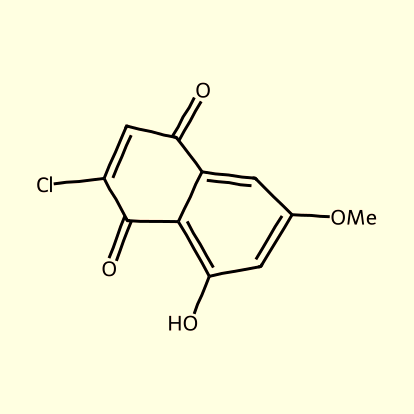 COc1cc(O)c2c(c1)C(=O)C=C(Cl)C2=O